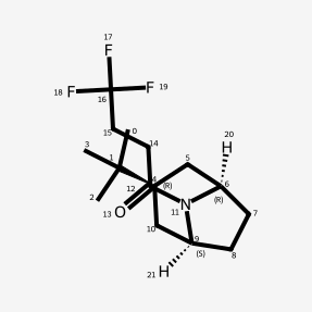 CC(C)(C)[C@H]1C[C@H]2CC[C@@H](C1)N2C(=O)CCC(F)(F)F